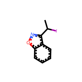 CC(I)c1noc2ccccc12